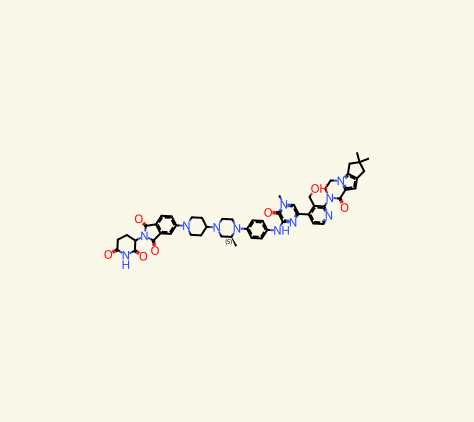 C[C@H]1CN(C2CCN(c3ccc4c(c3)C(=O)N(C3CCC(=O)NC3=O)C4=O)CC2)CCN1c1ccc(Nc2nc(-c3ccnc(N4CCn5c(cc6c5CC(C)(C)C6)C4=O)c3CO)cn(C)c2=O)cc1